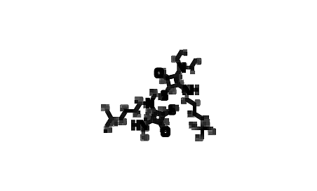 CCN(CC)C1=C(NCCCCC(C)(C)C)C(SCN(CCCCC(C)C)c2c(NC)c(=O)c2=S)C1=O